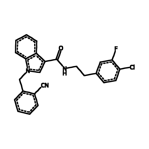 N#Cc1ccccc1Cn1cc(C(=O)NCCc2ccc(Cl)c(F)c2)c2ccccc21